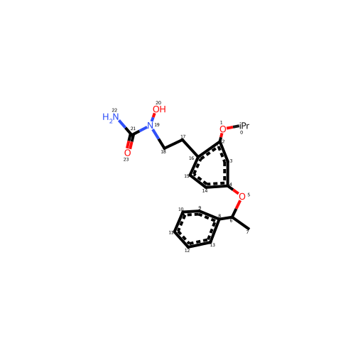 CC(C)Oc1cc(OC(C)c2ccccc2)ccc1CCN(O)C(N)=O